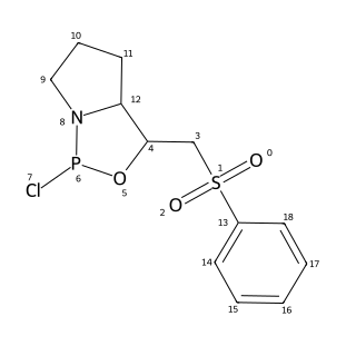 O=S(=O)(CC1OP(Cl)N2CCCC12)c1ccccc1